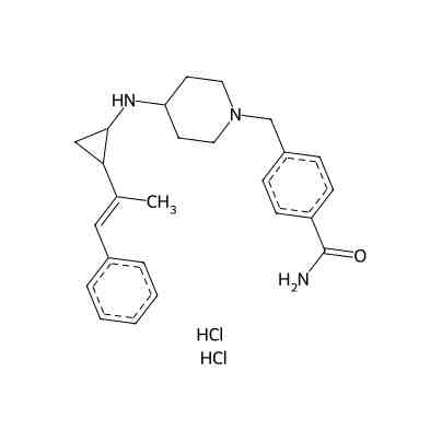 C/C(=C\c1ccccc1)C1CC1NC1CCN(Cc2ccc(C(N)=O)cc2)CC1.Cl.Cl